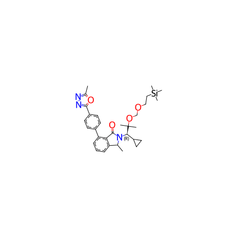 Cc1nnc(-c2ccc(-c3cccc4c3C(=O)N([C@H](C3CC3)C(C)(C)OCOCC[Si](C)(C)C)C4C)cc2)o1